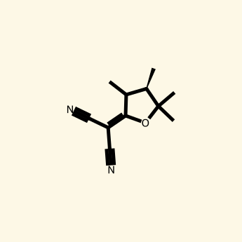 CC1C(=C(C#N)C#N)OC(C)(C)[C@@H]1C